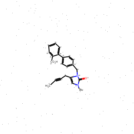 CC#CCc1cn(C(C)CC)c(=O)n1Cc1ccc(-c2ccccc2C(=O)O)cc1